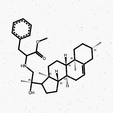 COC(=O)C(Cc1ccccc1)NC[C@](C)(O)C1CC[C@H]2[C@@H]3CC=C4C[C@@H](C)CC[C@]4(C)[C@H]3CC[C@]12C